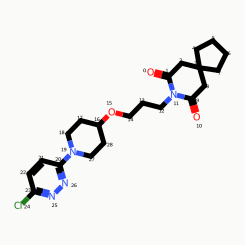 O=C1CC2(CCCC2)CC(=O)N1CCCOC1CCN(c2ccc(Cl)nn2)CC1